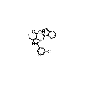 CCc1nc(-c2cncc(Cl)c2)n(Cc2cccc3ccccc23)c1C(=O)O